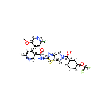 COc1cnc(Cl)cc1-c1cc(C)ncc1C(=O)Nc1nc2c(s1)CN(C(=O)C1CCCC(OC(F)F)C1)C2